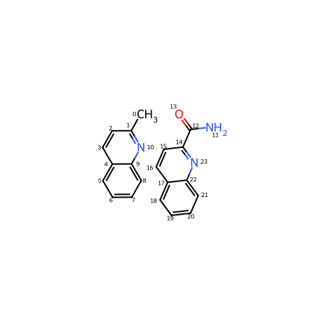 Cc1ccc2ccccc2n1.NC(=O)c1ccc2ccccc2n1